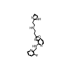 Fc1cccnc1CNc1nccc2oc(CCNCCc3ncc[nH]3)nc12